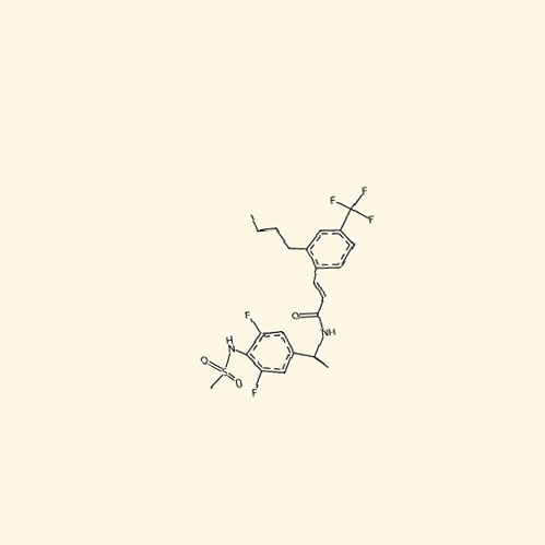 CCCCc1cc(C(F)(F)F)ccc1/C=C/C(=O)NC(C)c1cc(F)c(NS(C)(=O)=O)c(F)c1